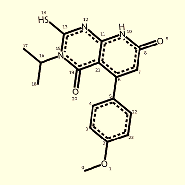 COc1ccc(-c2cc(=O)[nH]c3nc(S)n(C(C)C)c(=O)c23)cc1